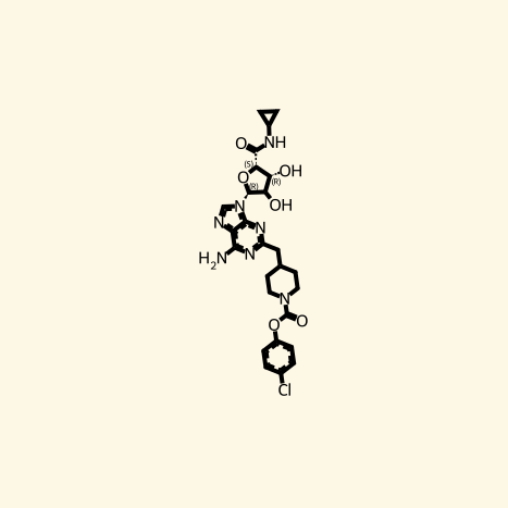 Nc1nc(CC2CCN(C(=O)Oc3ccc(Cl)cc3)CC2)nc2c1ncn2[C@@H]1O[C@H](C(=O)NC2CC2)[C@H](O)C1O